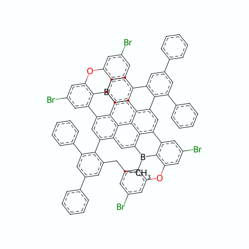 CCCc1cc(-c2ccccc2)cc(-c2ccccc2)c1-c1cc2c3c(cc4c(-c5c(-c6ccccc6)cc(-c6ccccc6)cc5-c5ccccc5)cc5c6c(cc1c3c46)B1c3ccc(Br)cc3Oc3cc(Br)cc-5c31)B1c3ccc(Br)cc3Oc3cc(Br)cc-2c31